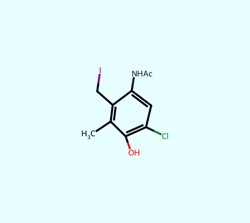 CC(=O)Nc1cc(Cl)c(O)c(C)c1CI